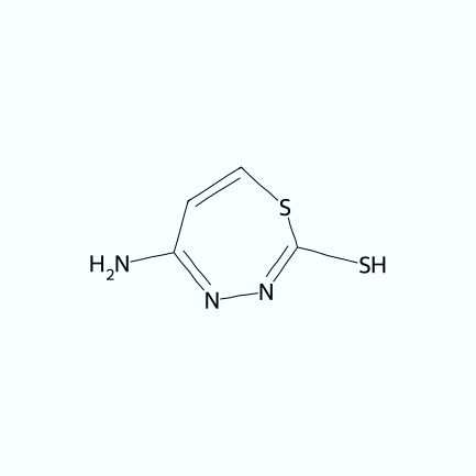 NC1=NN=C(S)SC=C1